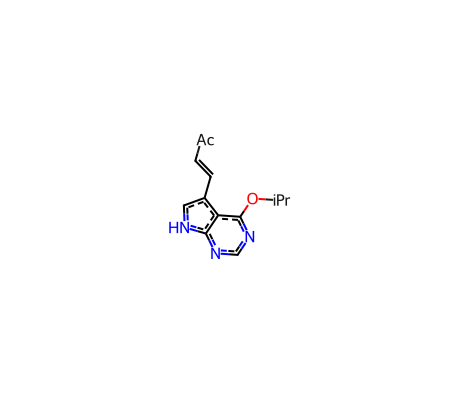 CC(=O)/C=C/c1c[nH]c2ncnc(OC(C)C)c12